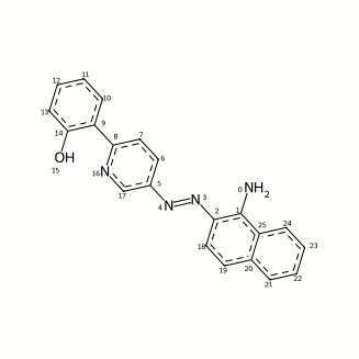 Nc1c(N=Nc2ccc(-c3ccccc3O)nc2)ccc2ccccc12